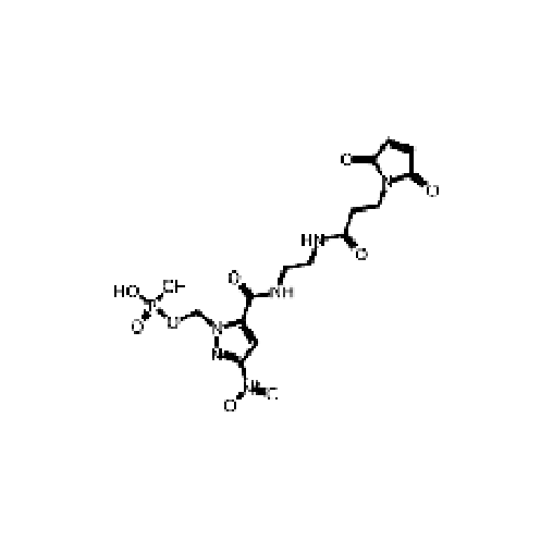 O=C(CCN1C(=O)C=CC1=O)NCCNC(=O)c1cc([N+](=O)[O-])nn1COP(=O)(O)O